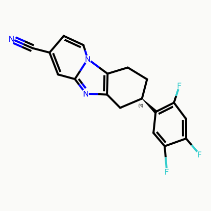 N#Cc1ccn2c3c(nc2c1)C[C@H](c1cc(F)c(F)cc1F)CC3